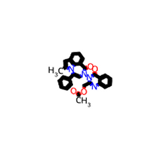 CC(=O)OCc1nc2ccccc2c(=O)n1N1C=C(c2ccccc2)n2c(C)cc3c2C(=CCC3)C1=O